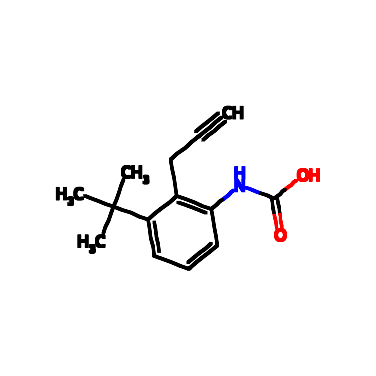 C#CCc1c(NC(=O)O)cccc1C(C)(C)C